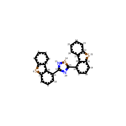 c1ccc2c(c1)sc1cccc(-c3nsc(-c4cccc5sc6ccccc6c45)n3)c12